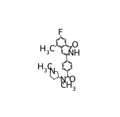 Cc1cc(F)cc2c(=O)[nH]c(-c3ccc(C(=O)N(C)C4CCN(C)C4)cc3)cc12